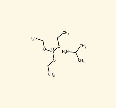 CC(C)N.CCO[SiH](OCC)OCC